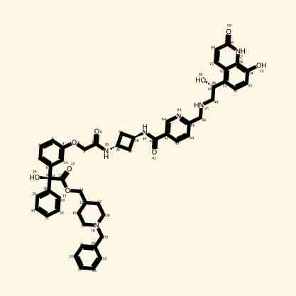 O=C(COc1cccc([C@](O)(C(=O)OCC2CCN(Cc3ccccc3)CC2)c2ccccc2)c1)N[C@H]1C[C@H](NC(=O)c2ccc(CNC[C@H](O)c3ccc(O)c4[nH]c(=O)ccc34)nc2)C1